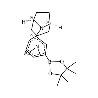 CC(=O)N(C)[C@@H]1C[C@H]2CC[C@@H](C1)N2c1cccc(B2OC(C)(C)C(C)(C)O2)c1